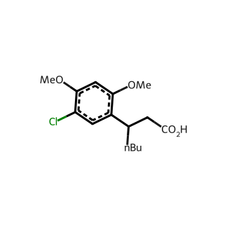 CCCCC(CC(=O)O)c1cc(Cl)c(OC)cc1OC